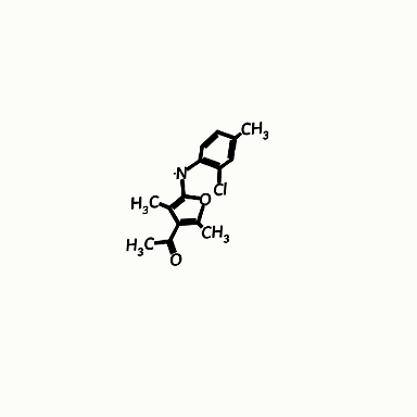 CC(=O)c1c(C)oc([N]c2ccc(C)cc2Cl)c1C